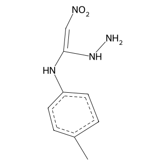 Cc1ccc(NC(=C[N+](=O)[O-])NN)cc1